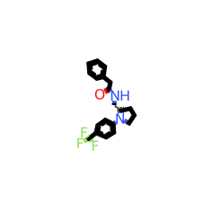 O=C(Cc1ccccc1)NC[C@@H]1CCCN1c1ccc(C(F)(F)F)cc1